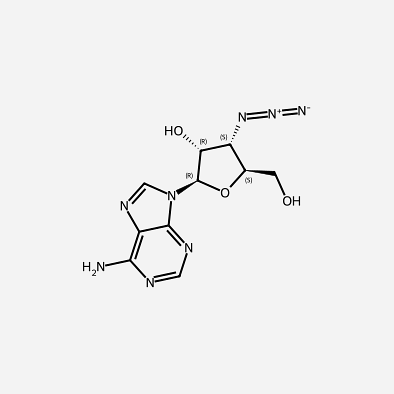 [N-]=[N+]=N[C@H]1[C@@H](O)[C@H](n2cnc3c(N)ncnc32)O[C@@H]1CO